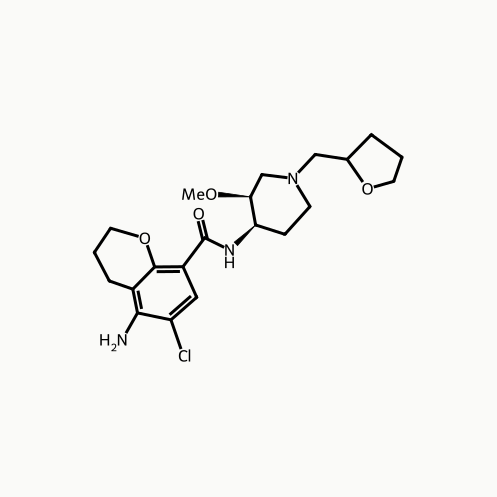 CO[C@H]1CN(CC2CCCO2)CC[C@H]1NC(=O)c1cc(Cl)c(N)c2c1OCCC2